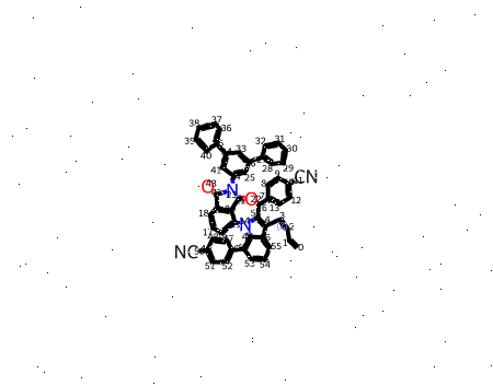 C=C/C=C\c1c(Cc2ccc(C#N)cc2)n(-c2cccc3c2C(=O)N(c2cc(-c4ccccc4)cc(-c4ccccc4)c2)C3=O)c2c(-c3ccc(C#N)cc3)cccc12